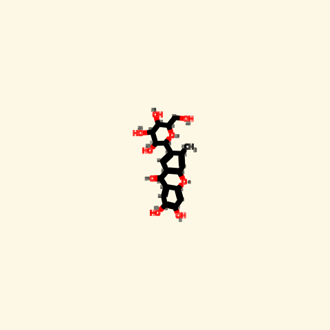 Cc1cc2oc3cc(O)c(O)cc3c(=O)c2cc1C1OC(CO)C(O)C(O)C1O